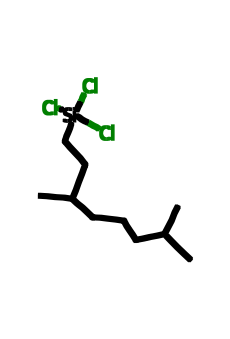 CC(C)CCCC(C)CC[Si](Cl)(Cl)Cl